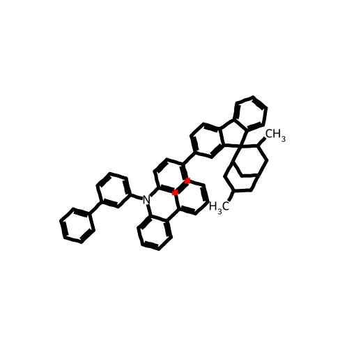 CC1CC2CC(C)C3(c4ccccc4-c4ccc(-c5ccc(N(c6cccc(-c7ccccc7)c6)c6ccccc6-c6ccccc6)cc5)cc43)C(C1)C2